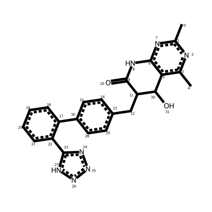 Cc1nc(C)c2c(n1)NC(=O)C(Cc1ccc(-c3ccccc3-c3nnn[nH]3)cc1)C2O